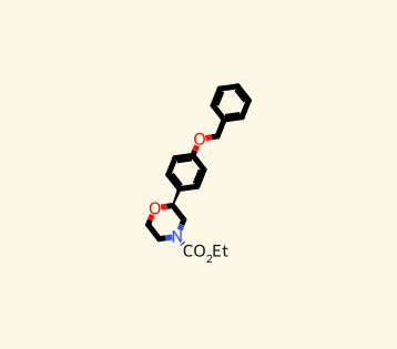 CCOC(=O)N1CCO[C@@H](c2ccc(OCc3ccccc3)cc2)C1